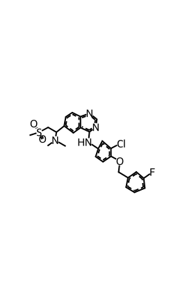 CN(C)C(CS(C)(=O)=O)c1ccc2ncnc(Nc3ccc(OCc4cccc(F)c4)c(Cl)c3)c2c1